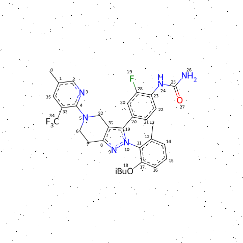 Cc1cnc(N2CCc3nn(-c4c(C)cccc4OCC(C)C)c(-c4ccc(NC(N)=O)c(F)c4)c3C2)c(C(F)(F)F)c1